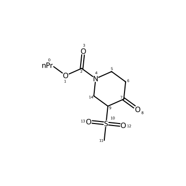 CCCOC(=O)N1CCC(=O)C(S(C)(=O)=O)C1